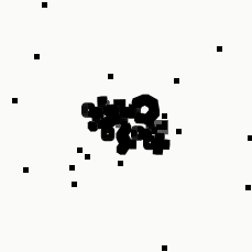 CC(C)=CCn1c(N2CCCCC(NC(=O)OC(C)(C)C)C2)nc2c1c(=O)n(C)c(=O)n2C